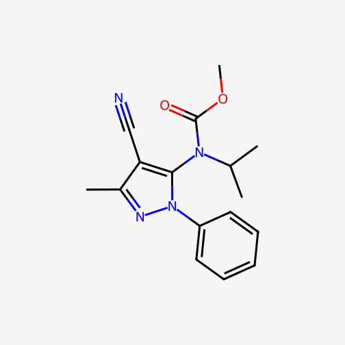 COC(=O)N(c1c(C#N)c(C)nn1-c1ccccc1)C(C)C